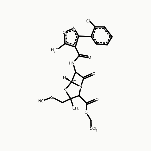 Cc1onc(-c2ccccc2Cl)c1C(=O)NC1C(=O)N2C(C(=O)OCC(Cl)(Cl)Cl)C(C)(CSC#N)S[C@H]12